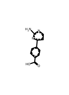 Nc1nccc(-c2ccc(C(=O)O)cc2)n1